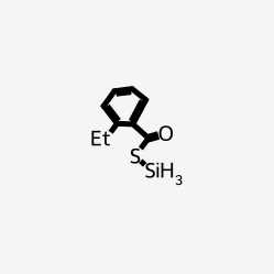 CCc1ccccc1C(=O)S[SiH3]